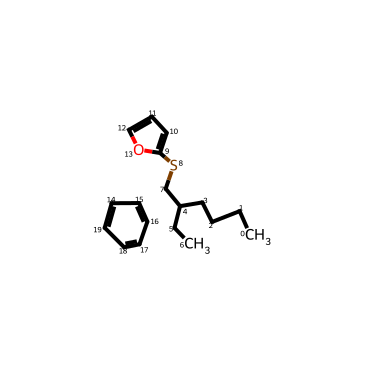 CCCCC(CC)CSc1ccco1.c1ccccc1